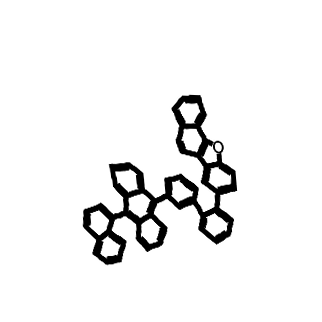 c1cc(-c2ccccc2-c2ccc3oc4c5ccccc5ccc4c3c2)cc(-c2c3ccccc3c(-c3cccc4ccccc34)c3ccccc23)c1